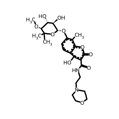 CO[C@@H]1[C@H](O)[C@@H](O)[C@H](Oc2ccc3c(O)c(C(=O)NCCN4CCOCC4)c(=O)oc3c2C)OC1(C)C